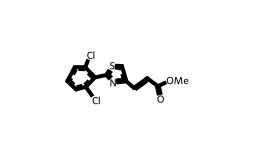 COC(=O)/C=C/c1csc(-c2c(Cl)cccc2Cl)n1